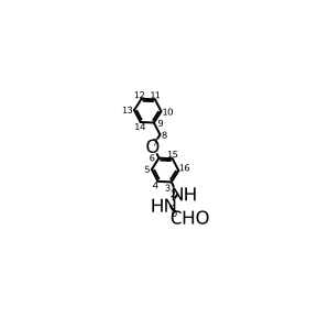 O=CNNc1ccc(OCc2ccccc2)cc1